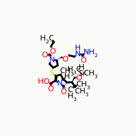 C=CCOC(=O)N1C[C@@H](SC2=C(C(=O)O)N3C(=O)[C@@H]([C@@H](CO[SiH](C)C)C(C)(C)C)[C@H]3[C@H]2C)C[C@H]1COCCNC(N)=O